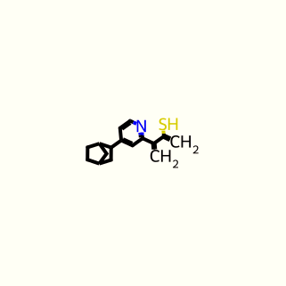 C=C(S)C(=C)c1cc(C2CC3CCC2C3)ccn1